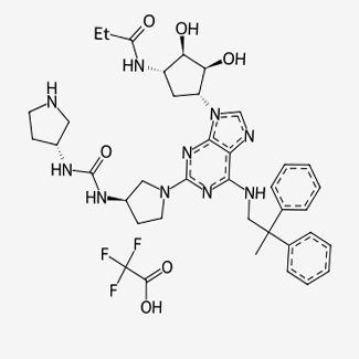 CCC(=O)N[C@H]1C[C@@H](n2cnc3c(NCC(C)(c4ccccc4)c4ccccc4)nc(N4CC[C@@H](NC(=O)N[C@@H]5CCNC5)C4)nc32)[C@H](O)[C@@H]1O.O=C(O)C(F)(F)F